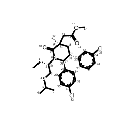 CC[C@@H](CSC(C)C)N1C(=O)[C@@](C)(CC(=O)OC)C[C@H](c2cccc(Cl)c2)[C@H]1c1ccc(Cl)cc1